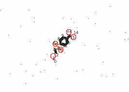 COCCS(=O)(=O)c1ccc(C(=O)OC)cc1